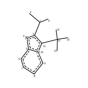 CC(C)c1nc2ccccn2c1C(C)(C)C